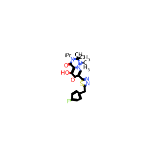 CC(C)N1C(=O)c2c(O)c(=O)c(-c3nnc(Cc4ccc(F)cc4)s3)cn2N(C)C1(C)C